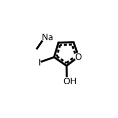 Oc1occc1I.[CH3][Na]